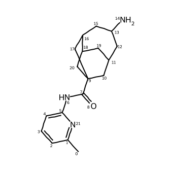 Cc1cccc(NC(=O)C23CC4CC(N)CC(C2)C(C4)C3)n1